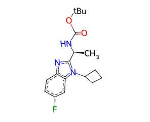 C[C@H](NC(=O)OC(C)(C)C)c1nc2ccc(F)cc2n1C1CCC1